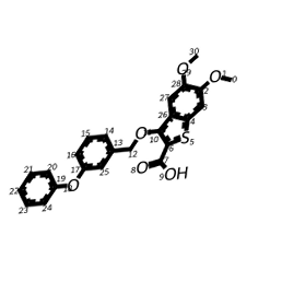 COc1cc2sc(C(=O)O)c(OCc3cccc(Oc4ccccc4)c3)c2cc1OC